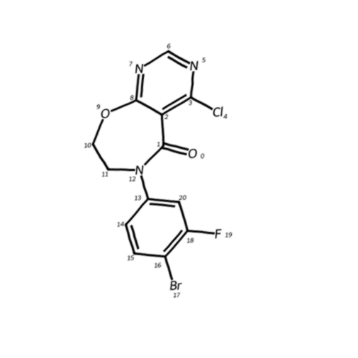 O=C1c2c(Cl)ncnc2OCCN1c1ccc(Br)c(F)c1